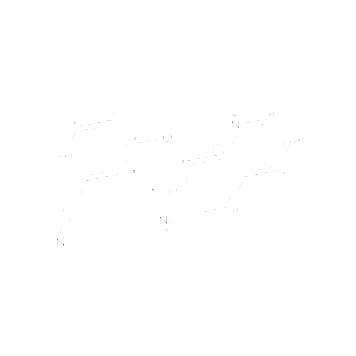 N#Cc1cccc(Oc2cccc3cccnc23)c1C#N